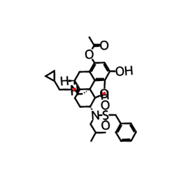 CC(=O)Oc1cc(O)c2c3c1C[C@@H]1[C@@H]4CC[C@@H](N(CC(C)C)S(=O)(=O)Cc5ccccc5)[C@H](O2)[C@]34CCN1CC1CC1